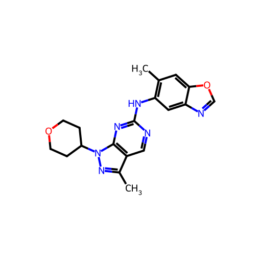 Cc1cc2ocnc2cc1Nc1ncc2c(C)nn(C3CCOCC3)c2n1